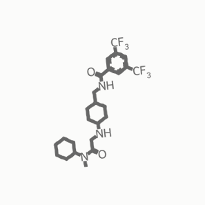 CN(C(=O)CNC1CCC(CNC(=O)c2cc(C(F)(F)F)cc(C(F)(F)F)c2)CC1)C1CCCCC1